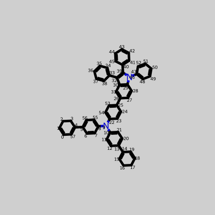 C1=CCCC(c2ccc(N(c3ccc(C4=CCCC=C4)cc3)c3ccc(-c4ccc5c(c4)c(-c4ccccc4)c(-c4ccccc4)n5-c4ccccc4)cc3)cc2)=C1